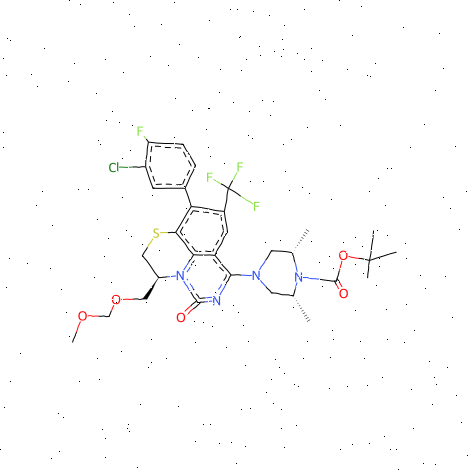 COCOC[C@H]1CSc2c(-c3ccc(F)c(Cl)c3)c(C(F)(F)F)cc3c(N4C[C@@H](C)N(C(=O)OC(C)(C)C)[C@@H](C)C4)nc(=O)n1c23